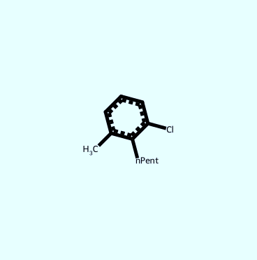 CC[CH]CCc1c(C)cccc1Cl